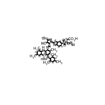 CCCCN(c1cc(C)c(N=Nc2c(C#N)c(C(C)(C)C)nn2-c2nc3ccc(S(=O)(=O)N(CC(=O)O)OOCC)cc3s2)c(Nc2c(C)cc(C)cc2C)n1)c1c(C)cc(C)cc1C